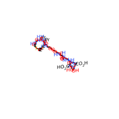 CC(C)C[C@@H]1NC(=O)[C@H](C)NC(=O)CCSCc2cccc(c2)CSC[C@@H](C(=O)NCCCOCCOCCOCCCNC(=O)CCC(=O)N[C@@H](CCCCNC(=O)CN2CCN(CC(=O)O)CCN(CC(O)O)CCN(CC(=O)O)CC2)C(N)=O)NC(=O)[C@H](C(C)C)NC1=O